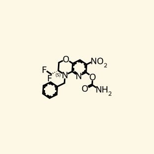 NC(=O)Oc1nc2c(cc1[N+](=O)[O-])OC[C@@H](C(F)F)N2Cc1ccccc1